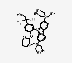 CC(C)C[Si](CC(C)C)(CC(C)C)c1ccc2c3ccc([Si](CC(C)C)(CC(C)C)CC(C)C)cc3n(-c3cc(C(C)(C)CC(C)(C)C)ccc3OC3CCCCO3)c2c1